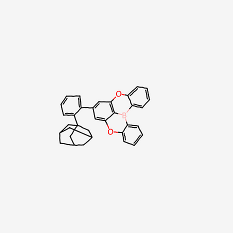 c1ccc2c(c1)Oc1cc(-c3ccccc3C34CC5CC(CC(C5)C3)C4)cc3c1B2c1ccccc1O3